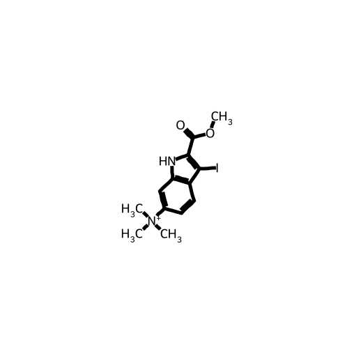 COC(=O)c1[nH]c2cc([N+](C)(C)C)ccc2c1I